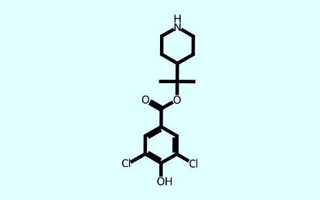 CC(C)(OC(=O)c1cc(Cl)c(O)c(Cl)c1)C1CCNCC1